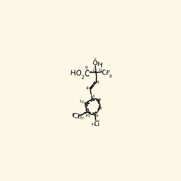 O=C(O)C(O)(/C=C/c1ccc(Cl)c(Cl)c1)C(F)(F)F